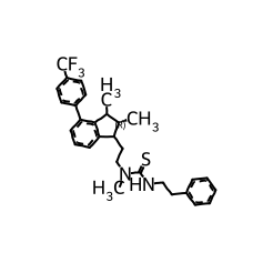 CC1c2c(-c3ccc(C(F)(F)F)cc3)cccc2C(CCN(C)C(=S)NCCc2ccccc2)[C@@H]1C